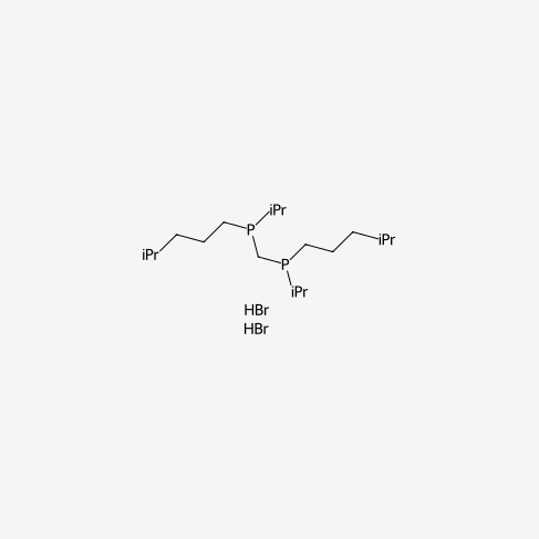 Br.Br.CC(C)CCCP(CP(CCCC(C)C)C(C)C)C(C)C